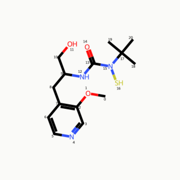 COc1cnccc1CC(CO)NC(=O)N(S)C(C)(C)C